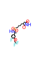 C[C@@H](NS(=O)(=O)CCCCCC1CC(=O)NC1=O)c1ccc(F)c(OCC(F)F)c1